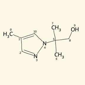 Cc1cnn(C(C)(C)CO)c1